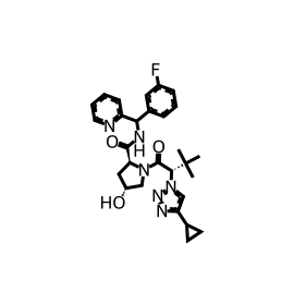 CC(C)(C)[C@@H](C(=O)N1C[C@H](O)C[C@H]1C(=O)NC(c1cccc(F)c1)c1ccccn1)n1cc(C2CC2)nn1